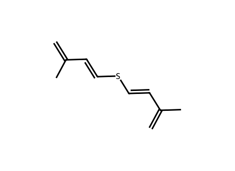 C=C(C)C=CSC=CC(=C)C